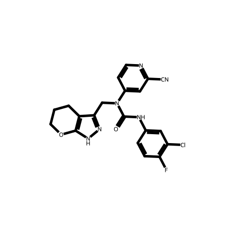 N#Cc1cc(N(Cc2n[nH]c3c2CCCO3)C(=O)Nc2ccc(F)c(Cl)c2)ccn1